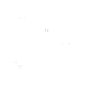 O=C([O-])c1cc(C(=O)[O-])nc(C(=O)[O-])c1.[Mn+3]